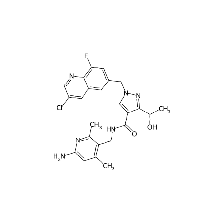 Cc1cc(N)nc(C)c1CNC(=O)c1cn(Cc2cc(F)c3ncc(Cl)cc3c2)nc1C(C)O